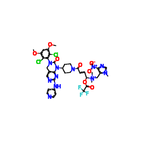 COc1cc(OC)c(Cl)c(N2Cc3cnc(Nc4ccncc4)nc3N(C3CCN(C(=O)/C=C/C(OC(=O)C(F)(F)F)[N+](C)(C)Cc4c([N+](=O)[O-])ncn4C)CC3)C2=O)c1Cl